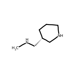 CNC[C@@H]1CCCNC1